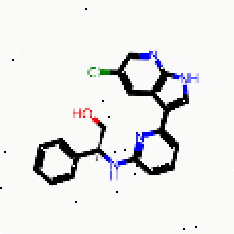 OC[C@@H](Nc1cccc(-c2c[nH]c3ncc(Cl)cc23)n1)c1ccccc1